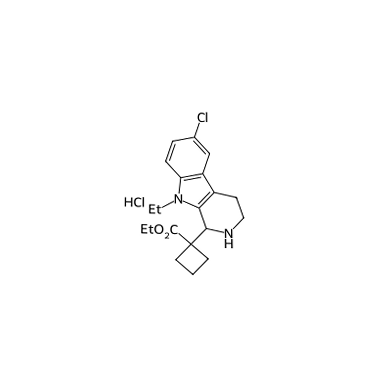 CCOC(=O)C1(C2NCCc3c2n(CC)c2ccc(Cl)cc32)CCC1.Cl